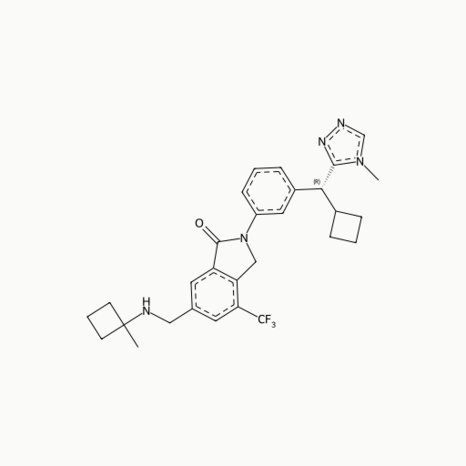 Cn1cnnc1[C@@H](c1cccc(N2Cc3c(cc(CNC4(C)CCC4)cc3C(F)(F)F)C2=O)c1)C1CCC1